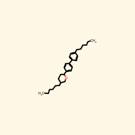 CCCCCCc1ccc(-c2ccc(C3CCC(CCCCCC)CO3)cc2)cc1